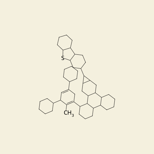 CC1=C(C2CCCC3C4CCCCC4C4CC5C(CC4C23)C5C2CCC3C(C2)SC2CCCCC23)CC(C2CCCCC2)=CC1C1CCCCC1